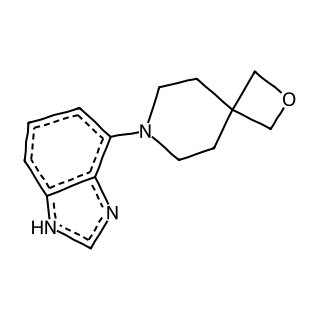 c1cc(N2CCC3(CC2)COC3)c2nc[nH]c2c1